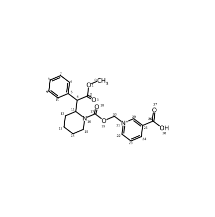 COC(=O)C(c1ccccc1)C1CCCCN1C(=O)OC[n+]1cccc(C(=O)O)c1